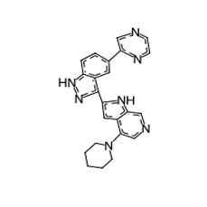 c1cnc(-c2ccc3[nH]nc(-c4cc5c(N6CCCCC6)cncc5[nH]4)c3c2)cn1